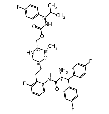 CC(C)[C@@H](NC(=O)OC[C@H]1NC[C@@H](CCc2c(F)cccc2NC(=O)[C@@H](N)C(c2ccc(F)cc2)c2ccc(F)cc2)O[C@H]1C)c1ccc(F)cc1